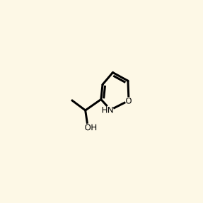 CC(O)C1=CC=CON1